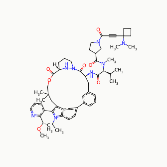 CCn1c(-c2cccnc2[C@H](C)OC)c2c3cc(ccc31)-c1cccc(c1)C[C@H](NC(=O)[C@H](C(C)C)N(C)C(=O)[C@H]1CCN(C(=O)C#CC3(N(C)C)CCC3)C1)C(=O)N1CCC[C@H](N1)C(=O)OCC(C)(C)C2